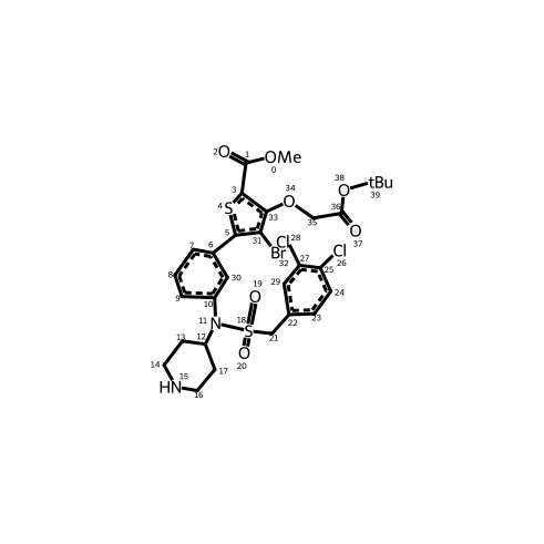 COC(=O)c1sc(-c2cccc(N(C3CCNCC3)S(=O)(=O)Cc3ccc(Cl)c(Cl)c3)c2)c(Br)c1OCC(=O)OC(C)(C)C